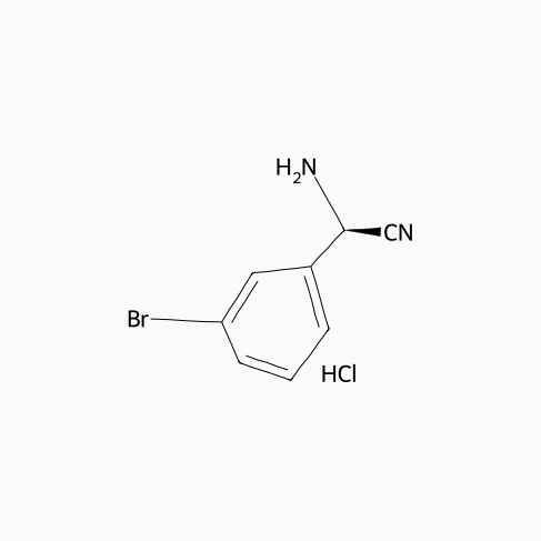 Cl.N#C[C@H](N)c1cccc(Br)c1